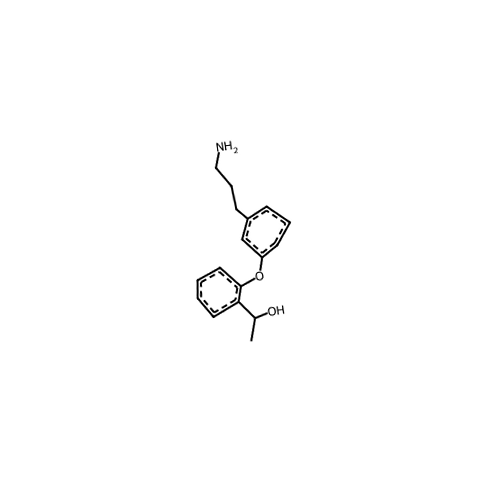 CC(O)c1ccccc1Oc1cccc(CCCN)c1